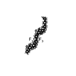 Cc1ccc(Oc2c(F)c(F)c(-c3c(F)c(F)c(Oc4ccc(C(c5ccc(Oc6c(F)c(F)c(-c7c(F)c(F)c(Oc8ccc(-c9ccc(-c%10cccc(C)c%10)cc9)cc8)c(F)c7F)c(F)c6F)cc5)(C(F)(F)F)C(F)(F)F)cc4)c(F)c3F)c(F)c2F)cc1